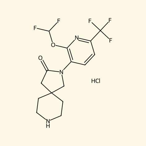 Cl.O=C1CC2(CCNCC2)CN1c1ccc(C(F)(F)F)nc1OC(F)F